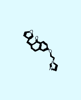 O=C1C(=Cc2ccoc2)CCc2cc(OCCn3ccnc3)ccc21